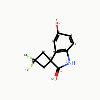 O=C1Nc2ccc(Br)cc2C12CC(F)(F)C2